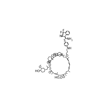 CO[C@@H]1C[C@@H](CC(C)[C@@H]2CC(=O)[C@H](C)/C=C(\C)[C@@H](O)[C@@H](OC)C(=O)[C@H](C)C[C@H](C)/C=C/C=C/C=C(/C)[C@@H](OCCCNc3ccc(S/C(N)=C(\C#N)c4ccccc4C(F)(F)F)cc3)C[C@@H]3CC[C@@H](C)[C@@](O)(O3)C(=O)C(=O)N3CCCC[C@H]3C(=O)O2)CC[C@H]1O